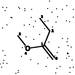 C=C(CC)OC